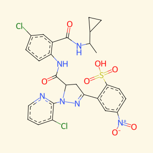 CC(NC(=O)c1cc(Cl)ccc1NC(=O)C1CC(c2cc([N+](=O)[O-])ccc2S(=O)(=O)O)=NN1c1ncccc1Cl)C1CC1